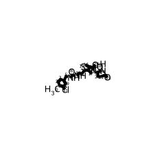 Cc1ccc(CNC(=O)NCCc2scc3c2CN(C2CCC(=O)NC2=O)C3=O)cc1Cl